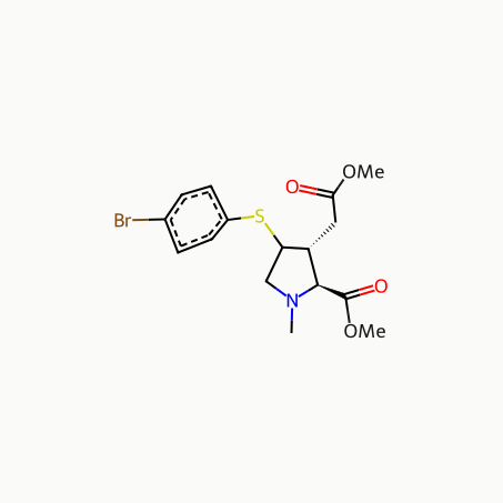 COC(=O)C[C@H]1C(Sc2ccc(Br)cc2)CN(C)[C@@H]1C(=O)OC